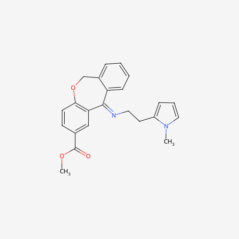 COC(=O)c1ccc2c(c1)/C(=N/CCc1cccn1C)c1ccccc1CO2